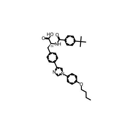 CCCCOc1ccc(-n2cnc(-c3ccc(C[C@H](NC(=O)c4ccc(C(C)(C)C)cc4)C(=O)O)cc3)c2)cc1